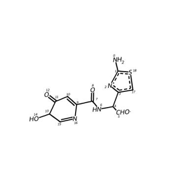 Nc1nc(C([C]=O)NC(=O)C2=CC(=O)C(O)C=N2)cs1